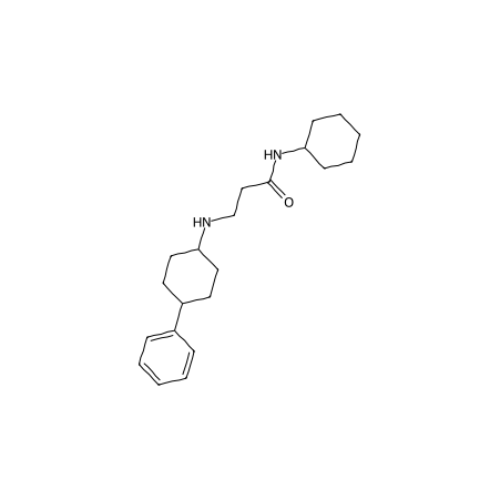 O=C(CCNC1CCC(c2ccccc2)CC1)NC1CCCCC1